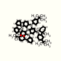 CC(C)(C)c1ccc(-c2ccccc2N2c3cc(N4c5ccc(C(C)(C)C)cc5C5(C)CCCCC45C)cc4c3B3c5c(cccc5[Si](c5ccccc5)(c5ccccc5)c5cccc2c53)N4c2ccc(C(C)(C)C)cc2)cc1